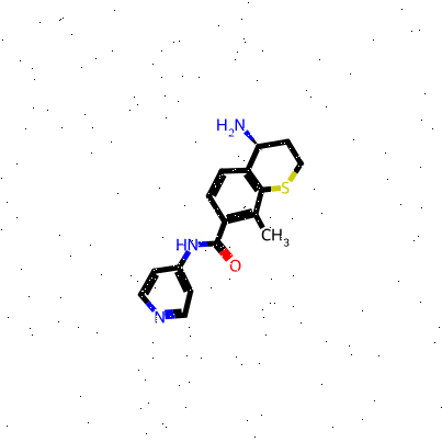 Cc1c(C(=O)Nc2ccncc2)ccc2c1SCC[C@@H]2N